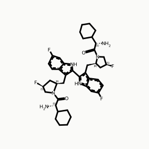 N[C@H](C(=O)N1C[C@@H](F)C[C@H]1Cc1c(-c2[nH]c3cc(F)ccc3c2C[C@@H]2C[C@H](F)CN2C(=O)[C@@H](N)C2CCCCC2)[nH]c2cc(F)ccc12)C1CCCCC1